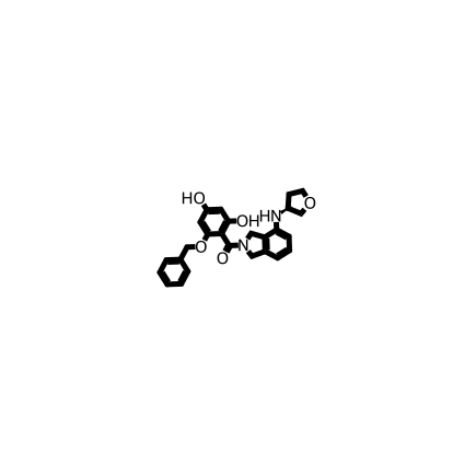 O=C(c1c(O)cc(O)cc1OCc1ccccc1)N1Cc2cccc(N[C@H]3CCOC3)c2C1